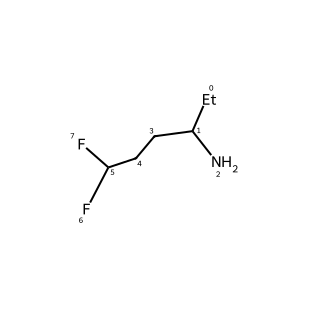 CCC(N)CCC(F)F